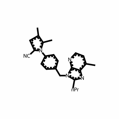 CCCc1nc2c(C)ccnc2n1Cc1ccc(-n2c(C#N)cc(C)c2C)cc1